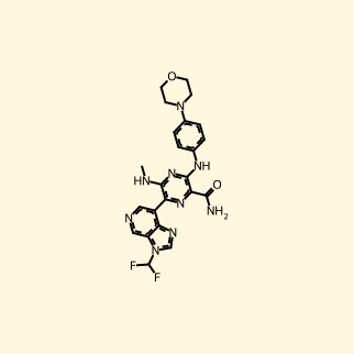 CNc1nc(Nc2ccc(N3CCOCC3)cc2)c(C(N)=O)nc1-c1cncc2c1ncn2C(F)F